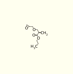 C=C(COCC1CO1)C(=O)OCCC